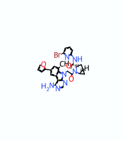 Cc1cc(-c2ccco2)cc2c3c(N)ncnc3n(CC(=O)N3C4C[C@@H]4C[C@H]3C(=O)Nc3cccc(Br)n3)c12